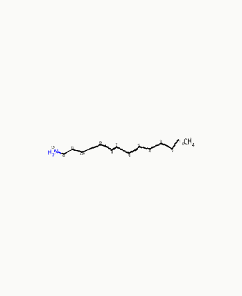 C.CCCCCCCCCCCCN